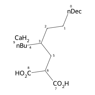 CCCCCCCCCCCCC(CCCC)CC(C(=O)O)C(=O)O.[CaH2]